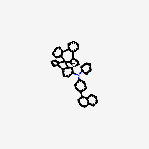 c1ccc(N(c2ccc(-c3cccc4ccccc34)cc2)c2ccc3c(c2)C2(c4ccccc4-c4ccccc4-c4ccccc42)c2ccccc2-3)cc1